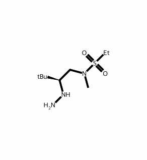 CCS(=O)(=O)N(C)C[C@@H](NN)C(C)(C)C